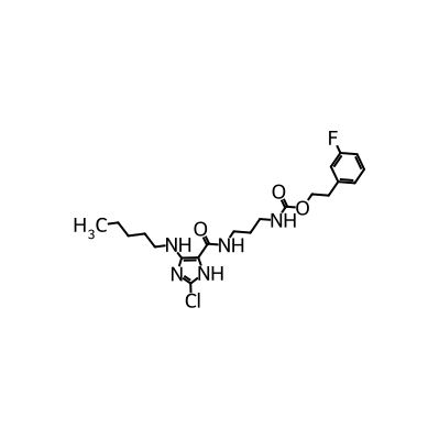 CCCCCNc1nc(Cl)[nH]c1C(=O)NCCCNC(=O)OCCc1cccc(F)c1